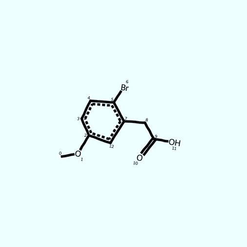 COc1ccc(Br)c(CC(=O)O)c1